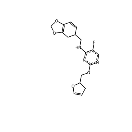 Fc1cnc(OCC2CC=CO2)nc1NCC1C=CC2=C(C1)OCO2